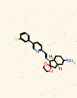 NC1CC[C@H]2[C@@H](C1)CC1(OCCO1)[C@H]2C=Cc1ccc(-c2cccc(F)c2)cn1